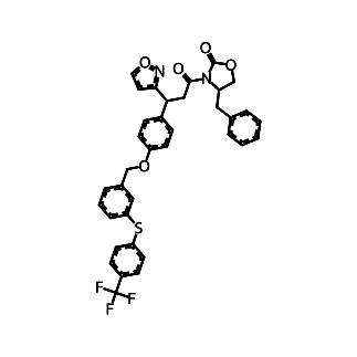 O=C(CC(c1ccc(OCc2cccc(Sc3ccc(C(F)(F)F)cc3)c2)cc1)c1ccon1)N1C(=O)OCC1Cc1ccccc1